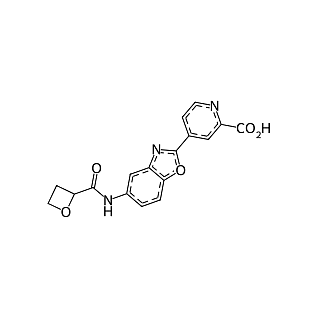 O=C(O)c1cc(-c2nc3cc(NC(=O)C4CCO4)ccc3o2)ccn1